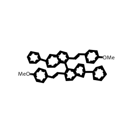 COc1ccc(/C=C/c2ccc3cc(-c4ccccc4)ccc3c2-c2c(/C=C/c3ccc(OC)cc3)ccc3cc(-c4ccccc4)ccc23)cc1